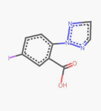 O=C(O)c1cc(I)ccc1-n1nccn1